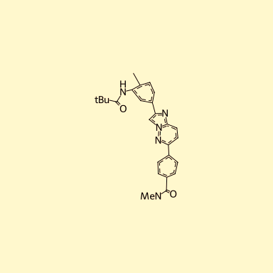 CNC(=O)c1ccc(-c2ccc3nc(-c4ccc(C)c(NC(=O)C(C)(C)C)c4)cn3n2)cc1